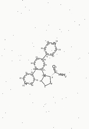 NC(=O)[C@@H]1CCCN1c1cc(-c2ccncc2)ccc1-c1ccncc1